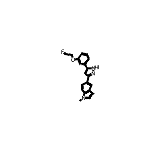 Cn1ccc2cc(-c3cc(-c4cccc(OCCF)c4)[nH]n3)ccc21